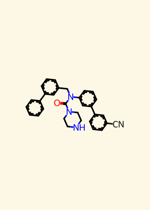 N#Cc1cccc(-c2cccc(N(Cc3cccc(-c4ccccc4)c3)C(=O)N3CCNCC3)c2)c1